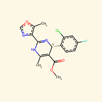 COC(=O)C1=C(C)NC(c2ncoc2C)=N[C@@H]1c1ccc(F)cc1Cl